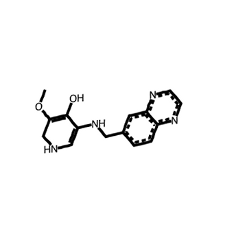 COC1=C(O)C(NCc2ccc3nccnc3c2)=CNC1